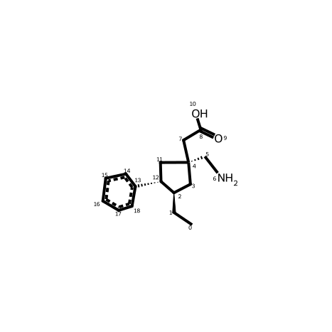 CC[C@@H]1C[C@](CN)(CC(=O)O)C[C@H]1c1ccccc1